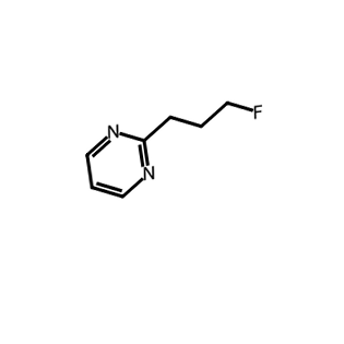 FCCCc1ncccn1